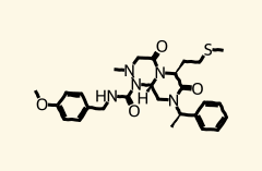 COc1ccc(CNC(=O)N2[C@H]3CN([C@H](C)c4ccccc4)C(=O)[C@H](CCSC)N3C(=O)CN2C)cc1